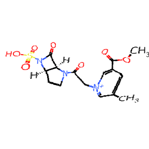 COC(=O)c1cc(C)c[n+](CC(=O)N2CC[C@@H]3[C@H]2C(=O)N3S(=O)(=O)O)c1